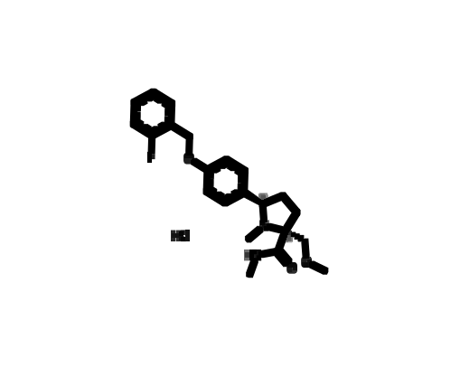 CNC(=O)[C@]1(COC)CC[C@H](c2ccc(OCc3ccccc3F)cc2)N1C.Cl